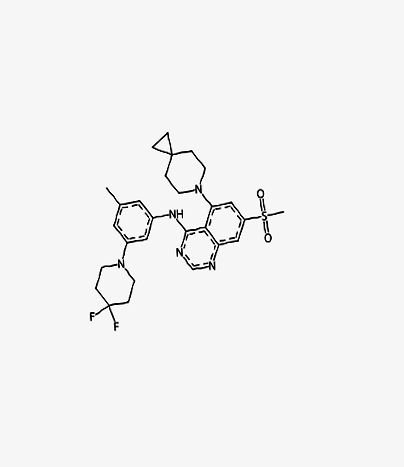 Cc1cc(Nc2ncnc3cc(S(C)(=O)=O)cc(N4CCC5(CC4)CC5)c23)cc(N2CCC(F)(F)CC2)c1